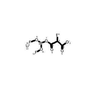 O=C([O-])C(F)C(=O)OB(OF)OF.[Li+]